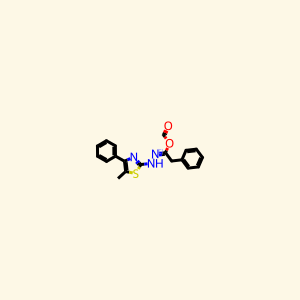 Cc1sc(N/N=C(\Cc2ccccc2)OC=O)nc1-c1ccccc1